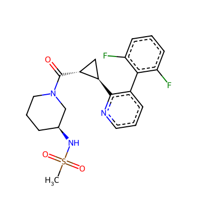 CS(=O)(=O)N[C@H]1CCCN(C(=O)[C@@H]2C[C@H]2c2ncccc2-c2c(F)cccc2F)C1